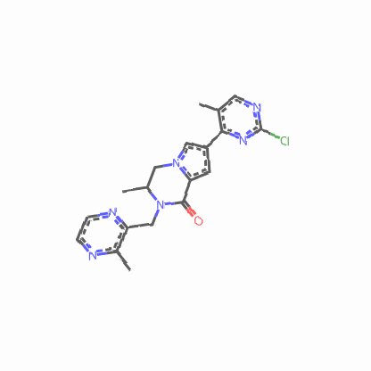 Cc1cnc(Cl)nc1-c1cc2n(c1)CC(C)N(Cc1nccnc1C)C2=O